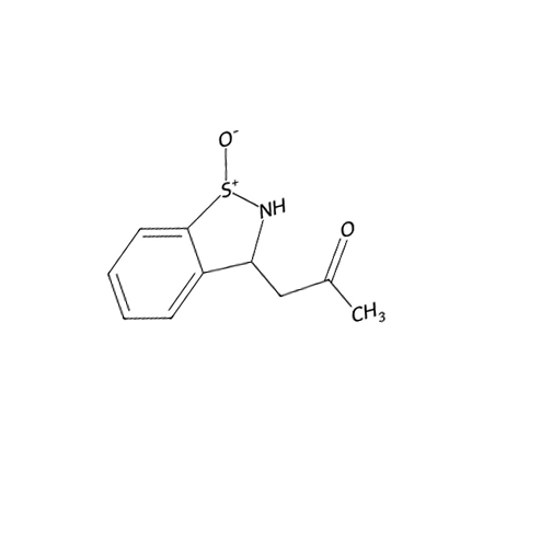 CC(=O)CC1N[S+]([O-])c2ccccc21